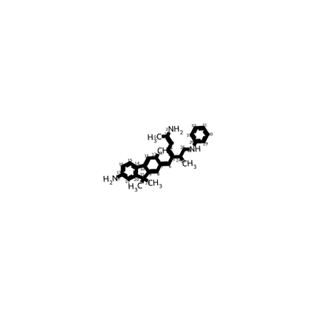 C\C(N)=C/C=C(/C=C1/C=C2C(=CC1C)c1ccc(N)cc1C2(C)C)C(C)CNc1ccccc1